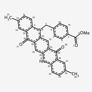 COC(=O)c1ccc(Cn2c3ccc(C)cc3c(=O)c3cc4[nH]c5ccc(C)cc5c(=O)c4cc32)cc1